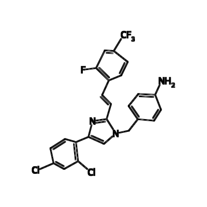 Nc1ccc(Cn2cc(-c3ccc(Cl)cc3Cl)nc2C=Cc2ccc(C(F)(F)F)cc2F)cc1